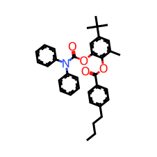 CCCCc1ccc(C(=O)Oc2c(C)cc(C(C)(C)C)cc2OC(=O)N(c2ccccc2)c2ccccc2)cc1